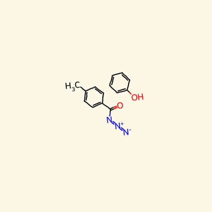 Cc1ccc(C(=O)N=[N+]=[N-])cc1.Oc1ccccc1